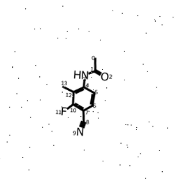 CC(=O)Nc1ccc(C#N)c(F)c1C